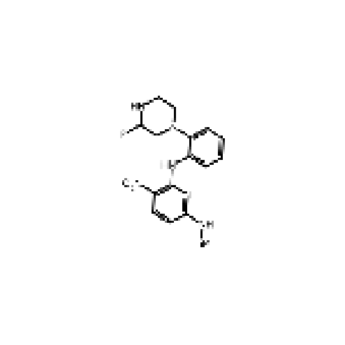 CC(C)Nc1ccc([N+](=O)[O-])c(Nc2ccccc2N2CCNC(F)C2)n1